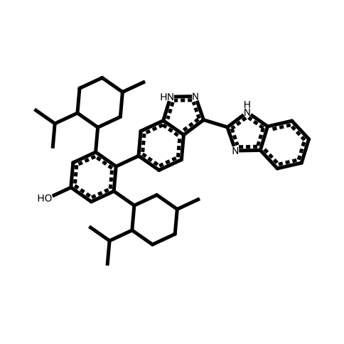 CC1CCC(C(C)C)C(c2cc(O)cc(C3CC(C)CCC3C(C)C)c2-c2ccc3c(-c4nc5ccccc5[nH]4)n[nH]c3c2)C1